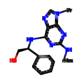 CCCCCCNc1nc(N[C@H](CO)c2ccccc2)c2ncn(C(C)C)c2n1